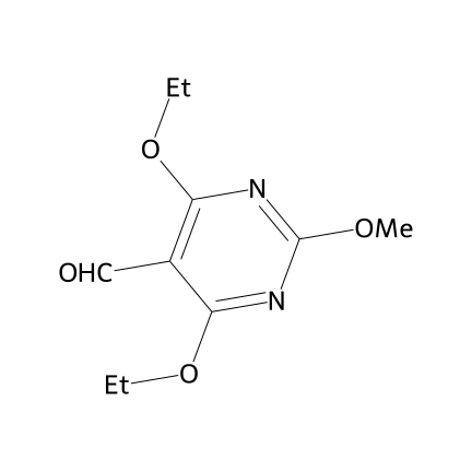 CCOc1nc(OC)nc(OCC)c1C=O